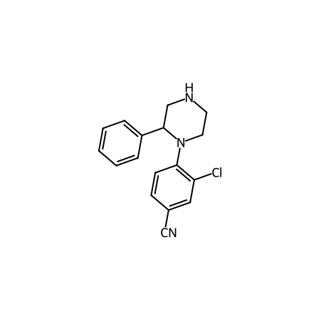 N#Cc1ccc(N2CCNCC2c2ccccc2)c(Cl)c1